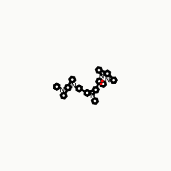 c1ccc(-n2c3ccc(-c4ccc(-n5c6ccccc6c6cc7c(cc65)c5ccccc5n7-c5ccccc5)cc4)cc3c3cc(-c4ccc(-n5c6ccccc6c6ccc7c8ccccc8n(-c8ccccc8)c7c65)cc4)ccc32)cc1